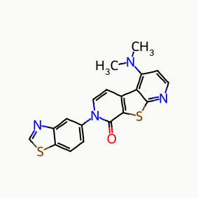 CN(C)c1ccnc2sc3c(=O)n(-c4ccc5scnc5c4)ccc3c12